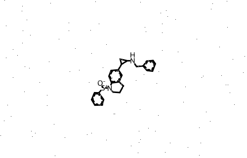 [O-][S+](c1ccccc1)N1CCCc2cc(C3CC3NCc3ccccc3)ccc21